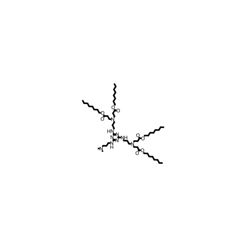 CCCCCCCCOC(=O)CCN(CCCNc1nc(NCCCN(C)C)nc(NCCCN(CCC(=O)OCCCCCCCC)CCC(=O)OCCCCCCCC)n1)CCC(=O)OCCCCCCCC